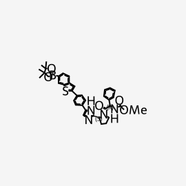 COC(=O)N[C@@H](C(=O)N1CCC[C@H]1c1ncc(-c2ccc(-c3cc4ccc(B5OC(C)(C)C(C)(C)O5)cc4s3)cc2)[nH]1)c1ccccc1